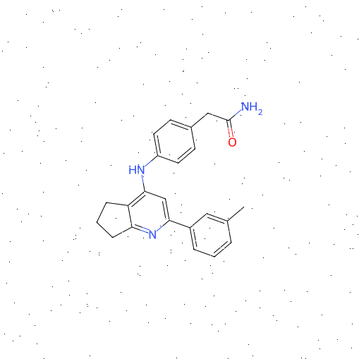 Cc1cccc(-c2cc(Nc3ccc(CC(N)=O)cc3)c3c(n2)CCC3)c1